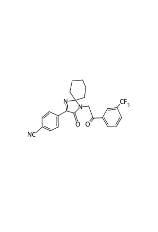 N#Cc1ccc(C2=NC3(CCCCC3)N(CC(=O)c3cccc(C(F)(F)F)c3)C2=O)cc1